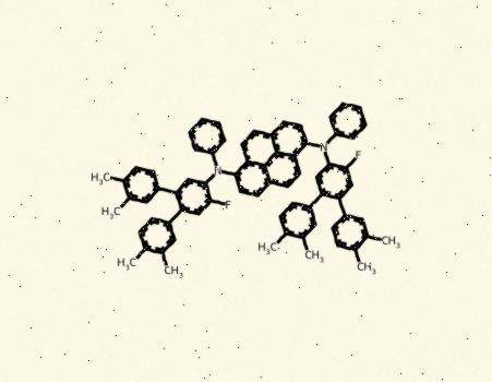 Cc1ccc(-c2cc(F)c(N(c3ccccc3)c3ccc4ccc5c(N(c6ccccc6)c6cc(-c7ccc(C)c(C)c7)c(-c7ccc(C)c(C)c7)cc6F)ccc6ccc3c4c65)cc2-c2ccc(C)c(C)c2)cc1C